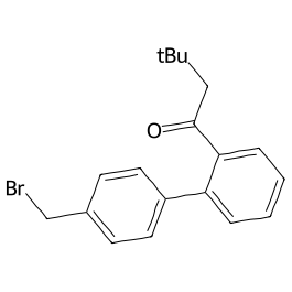 CC(C)(C)CC(=O)c1ccccc1-c1ccc(CBr)cc1